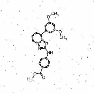 COC(=O)c1ccc(Nc2nc3c(-c4cc(OC)cc(OC)c4)cccn3n2)cc1